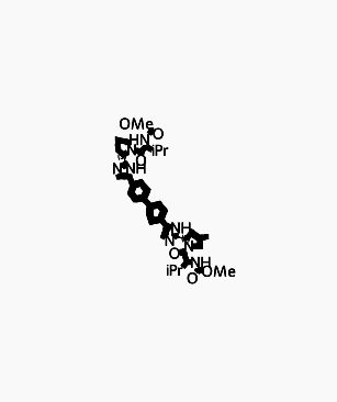 COC(=O)NC(C(=O)N1CC(C)=C[C@H]1c1ncc(-c2ccc(-c3ccc(-c4cnc([C@@H]5CCCN5C(=O)C(NC(=O)OC)C(C)C)[nH]4)cc3)cc2)[nH]1)C(C)C